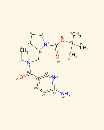 CCN(CC1CCCN1C(=O)OC(C)(C)C)C(=O)c1ccc(N)nc1